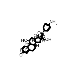 C[C@]12C=CC(=O)C=C1CC[C@@H]1[C@@H]2[C@@H](O)C[C@@]2(C)[C@H]1C[C@H]1O[C@H](C3C=CC(N)=CC3)O[C@]12C(=O)CO